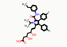 CCc1cccc(NC(=O)c2c(-c3ccc(F)cc3)c(-c3ccc(F)cc3)c(/C=C/[C@@H](O)C[C@@H](O)CC(=O)O)n2C(C)C)c1